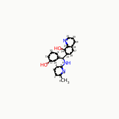 Cc1cccc(NC(c2cccc(O)c2)c2ccc3cccnc3c2O)n1